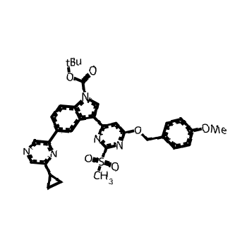 COc1ccc(COc2cc(-c3cn(C(=O)OC(C)(C)C)c4ccc(-c5cncc(C6CC6)n5)cc34)nc(S(C)(=O)=O)n2)cc1